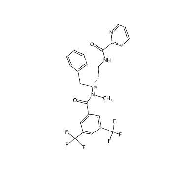 CN(C(=O)c1cc(C(F)(F)F)cc(C(F)(F)F)c1)[C@@H](CCNC(=O)c1ccccn1)Cc1ccccc1